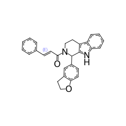 O=C(/C=C/c1ccccc1)N1CCc2c([nH]c3ccccc23)C1c1ccc2c(c1)CCO2